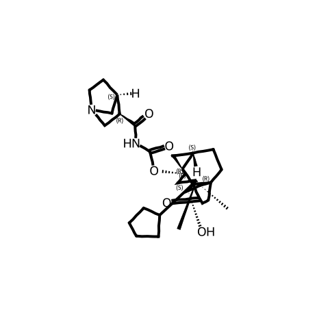 C[C@H]1[C@H](O)[C@](C)(C2CCCC2)C[C@@H](OC(=O)NC(=O)[C@H]2CN3CC[C@@H]2C3)[C@]23C[C@@H]2CCC12CCC(=O)C23